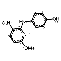 COc1ccc([N+](=O)[O-])c(Nc2ccc(O)cc2)n1